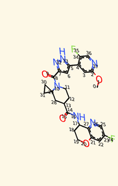 COc1cc(-c2cc(C(=O)N3CCC(C(=O)NC4CCOc5cc(F)cnc54)CC34CC4)n[nH]2)c(F)cn1